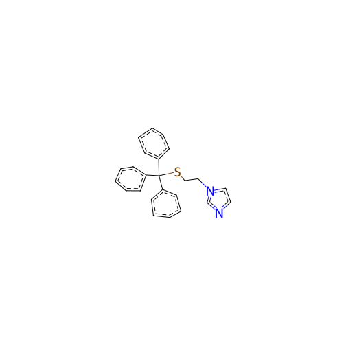 c1ccc(C(SCCn2ccnc2)(c2ccccc2)c2ccccc2)cc1